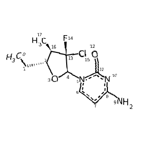 CC[C@H]1OC(n2ccc(N)nc2=O)[C@@](F)(Cl)[C@@H]1C